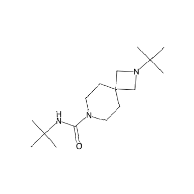 CC(C)(C)NC(=O)N1CCC2(CC1)CN(C(C)(C)C)C2